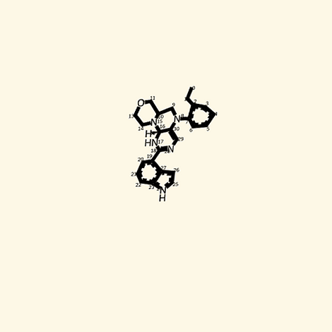 CCc1ccccc1N1CC2COCCN2[C@H]2NC(c3cccc4[nH]ccc34)=NC=C21